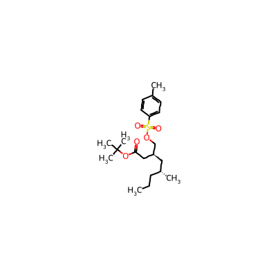 CCC[C@@H](C)C[C@H](COS(=O)(=O)c1ccc(C)cc1)CC(=O)OC(C)(C)C